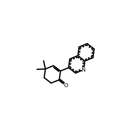 CC1(C)C=C(c2cnc3ccccc3c2)C(=O)CC1